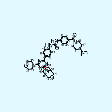 CN(C)C1CCN(C(=O)c2ccc(NC(=O)Nc3ccc(-c4nc(N5CCOCC5)nc(N5C6COCC5COC6)n4)cc3)cc2)CC1